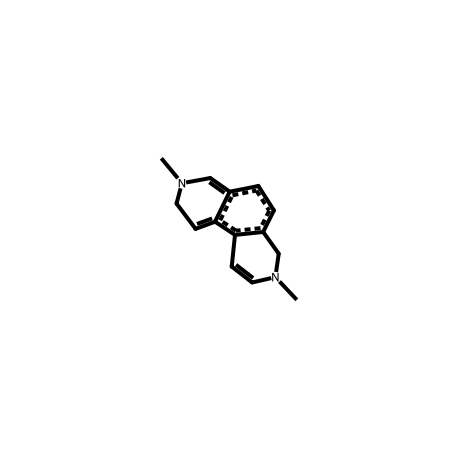 CN1C=c2ccc3c(c2=CC1)C=CN(C)C3